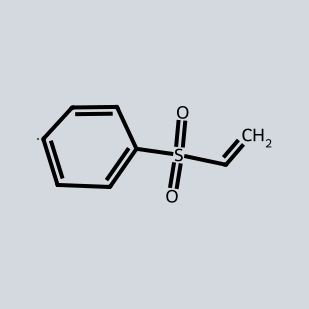 C=CS(=O)(=O)c1cc[c]cc1